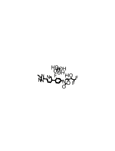 Cn1nnc(-c2ccc(-c3ccc(N4C[C@@H](C(O)C(F)F)OC4=O)cc3F)cn2)n1.O=P(O)(O)O